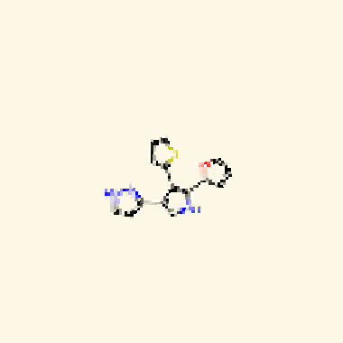 c1coc(-c2[nH]cc(-c3cc[nH]n3)c2-c2cccs2)c1